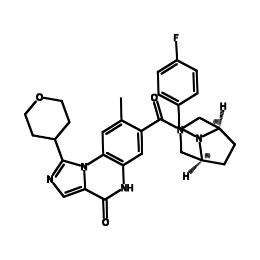 Cc1cc2c(cc1C(=O)N1C[C@H]3CC[C@@H](C1)N3Cc1ccc(F)cc1)[nH]c(=O)c1cnc(C3CCOCC3)n12